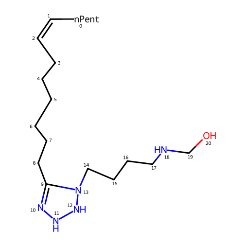 CCCCC/C=C\CCCCCCC1=NNNN1CCCCNCO